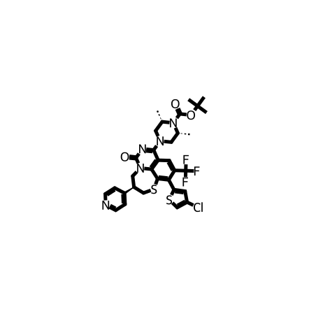 C[C@@H]1CN(c2nc(=O)n3c4c(c(-c5cc(Cl)cs5)c(C(F)(F)F)cc24)SC[C@@H](c2ccncc2)C3)C[C@H](C)N1C(=O)OC(C)(C)C